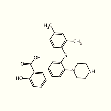 Cc1ccc(Sc2ccccc2N2CCNCC2)c(C)c1.O=C(O)c1ccccc1O